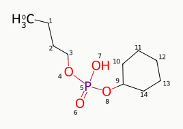 CCCCOP(=O)(O)OC1CCCCC1